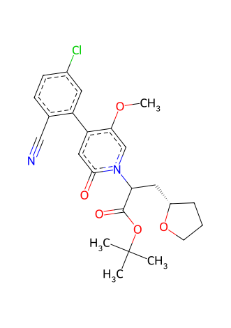 COc1cn(C(C[C@@H]2CCCO2)C(=O)OC(C)(C)C)c(=O)cc1-c1cc(Cl)ccc1C#N